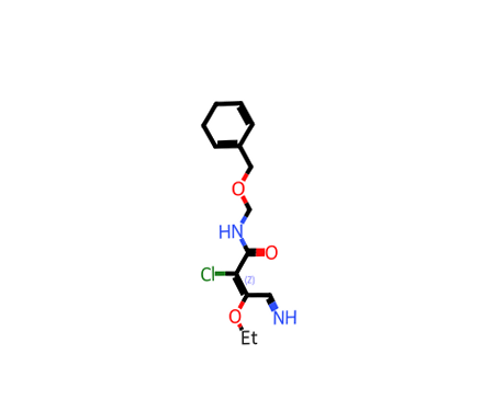 CCO/C(C=N)=C(\Cl)C(=O)NCOCC1=CCCC=C1